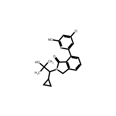 CC(C)(O)C(C1CC1)N1Cc2cccc(-c3cc(Cl)cc(C#N)n3)c2C1=O